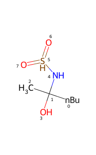 CCCCC(C)(O)N[SH](=O)=O